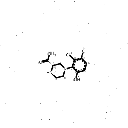 NC(=O)[C@@H]1CN(c2c(O)ccc(Cl)c2Cl)CCN1